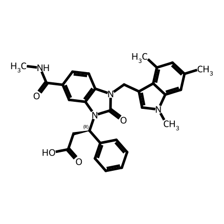 CNC(=O)c1ccc2c(c1)n([C@H](CC(=O)O)c1ccccc1)c(=O)n2Cc1cn(C)c2cc(C)cc(C)c12